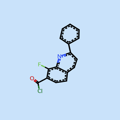 O=C(Cl)c1ccc2ccc(-c3ccccc3)nc2c1F